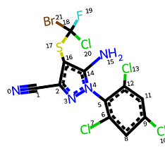 N#Cc1nn(-c2c(Cl)cc(Cl)cc2Cl)c(N)c1SC(F)(Cl)Br